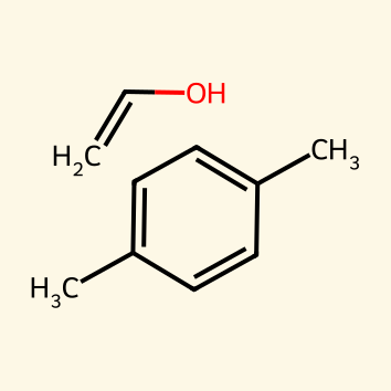 C=CO.Cc1ccc(C)cc1